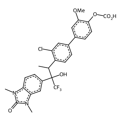 COc1cc(-c2ccc(C(C)C(O)(c3ccc4c(c3)n(C)c(=O)n4C)C(F)(F)F)c(Cl)c2)ccc1OC(=O)O